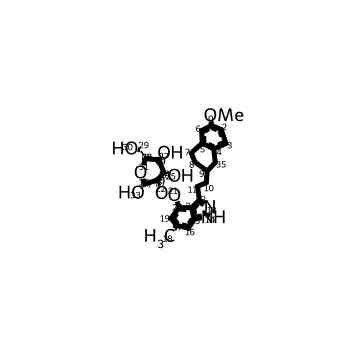 COc1ccc2c(c1)CCC(CCc1n[nH]c3cc(C)cc(OO[C@@H]4[C@@H](O)[C@H](O)[C@@H](CO)O[C@H]4O)c13)C2